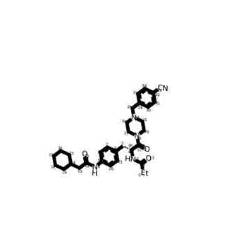 CCC(=O)N[C@H](Cc1ccc(NC(=O)CC2CCCCC2)cc1)C(=O)N1CCN(Cc2ccc(C#N)cc2)CC1